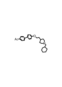 CC(=O)c1ccc(-c2ccc(OCCC3CCN(CC4CCCCC4)CC3)cc2)cc1